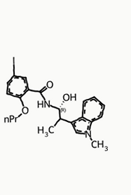 CCCOc1ccc(I)cc1C(=O)N[C@H](O)C(C)c1cn(C)c2ccccc12